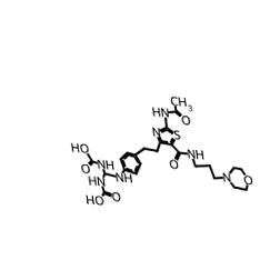 CC(=O)Nc1nc(CCc2ccc(NC(NC(=O)O)NC(=O)O)cc2)c(C(=O)NCCCN2CCOCC2)s1